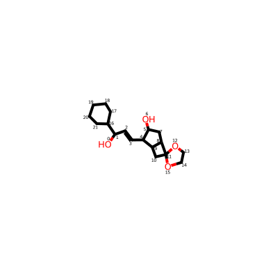 OC(C=CC1C(O)CC2C1CC21OCCO1)C1CCCCC1